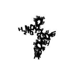 NC(=O)On1cc(CC(=O)N2C[C@H](F)C[C@H]2C(=O)Nc2cccc(OC(F)(F)F)c2F)c2ccccc21